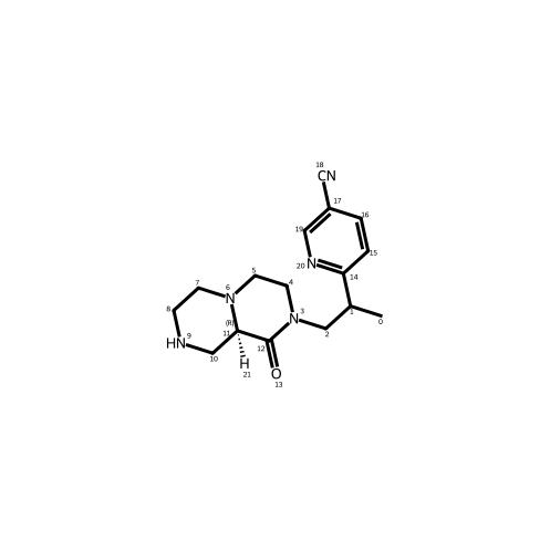 CC(CN1CCN2CCNC[C@@H]2C1=O)c1ccc(C#N)cn1